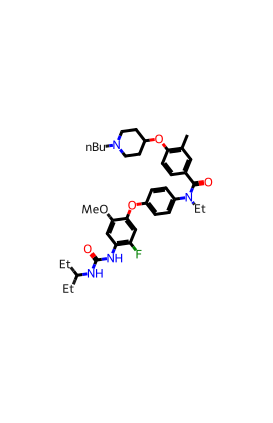 CCCCN1CCC(Oc2ccc(C(=O)N(CC)c3ccc(Oc4cc(F)c(NC(=O)NC(CC)CC)cc4OC)cc3)cc2C)CC1